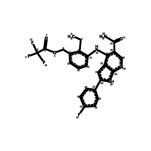 CCc1c(COC(=O)C(F)(F)F)cccc1Nc1c(C(N)=O)cnc2[nH]c(-c3ccc(F)cc3)cc12